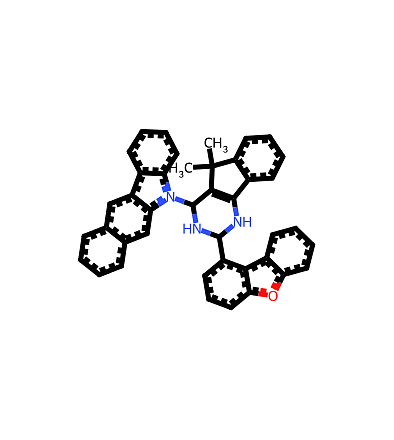 CC1(C)C2=C(NC(c3cccc4oc5ccccc5c34)NC2n2c3ccccc3c3cc4ccccc4cc32)c2ccccc21